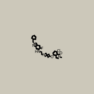 Cn1ccc2c(OC3CC4(C3)CN(CCNc3cc5nn(Cc6ccccc6)cc5cc3F)C4)ccc(Cl)c2c1=O